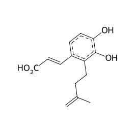 C=C(C)CCc1c(C=CC(=O)O)ccc(O)c1O